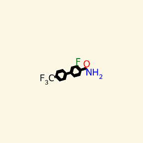 NC(=O)c1ccc(-c2ccc(C(F)(F)F)cc2)cc1F